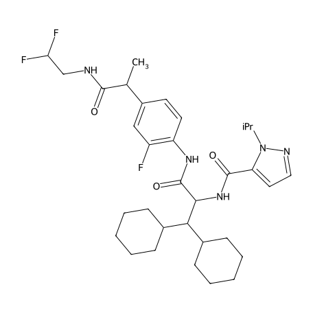 CC(C(=O)NCC(F)F)c1ccc(NC(=O)C(NC(=O)c2ccnn2C(C)C)C(C2CCCCC2)C2CCCCC2)c(F)c1